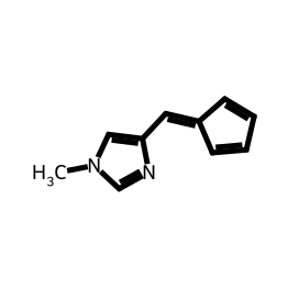 Cn1cnc(C=C2C=CC=C2)c1